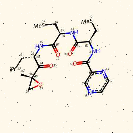 CSC[C@@H](NC(=O)c1cnccn1)C(=O)N[C@H](CSC)C(=O)N[C@@H](CC(C)C)C(=O)[C@@]1(C)CO1